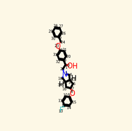 OC(CN1C[C@H]2CC(Oc3ccc(F)cc3)C[C@H]2C1)c1ccc(OCc2ccccc2)cc1